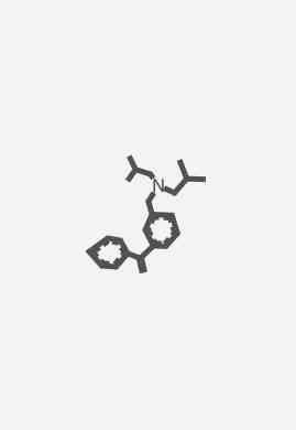 C=C(c1ccccc1)c1cccc(CN(CC(C)C)CC(C)C)c1